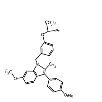 COc1ccc(-c2c(C)n(Cc3cccc(OC(C(=O)O)C(C)C)c3)c3cc(OC(F)(F)F)ccc23)cc1